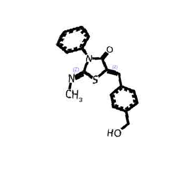 C/N=C1\S/C(=C\c2ccc(CO)cc2)C(=O)N1c1ccccc1